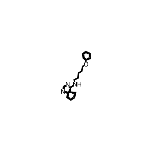 c1ccc(OCCCCCNc2ncnc3ccccc23)cc1